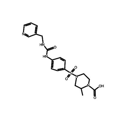 CC1CN(S(=O)(=O)c2ccc(NC(=O)NCc3cccnc3)cc2)CCN1C(=O)O